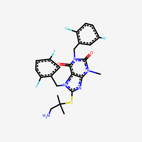 Cn1c(=O)n(Cc2cc(F)ccc2F)c(=O)c2c1nc(SC(C)(C)CN)n2Cc1cc(F)ccc1F